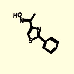 C/C(=N\O)c1csc(-c2ccccc2)n1